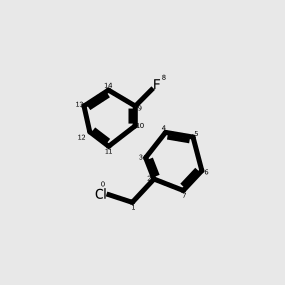 ClCc1ccccc1.Fc1ccccc1